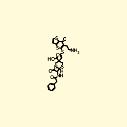 NCCc1c(SC=CC2(C(=O)O)CS[C@@H]3C(NC(=O)Cc4ccccc4)C(=O)N3C2)sc2ccsc2c1=O